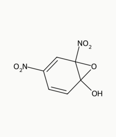 O=[N+]([O-])C1=CC2([N+](=O)[O-])OC2(O)C=C1